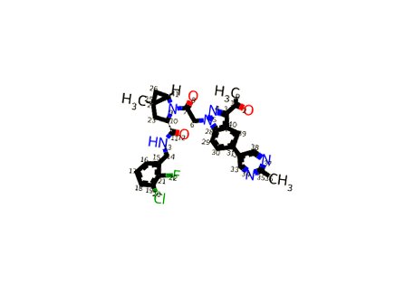 CC(=O)c1nn(CC(=O)N2[C@H](C(=O)NCc3cccc(Cl)c3F)C[C@@]3(C)C[C@@H]23)c2ccc(-c3cnc(C)nc3)cc12